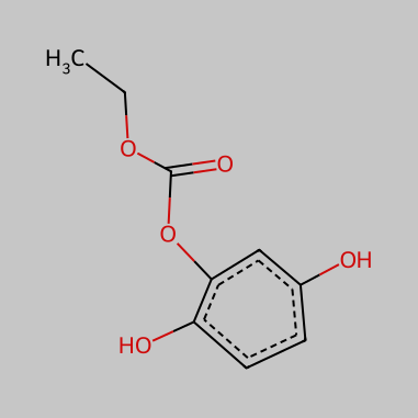 CCOC(=O)Oc1cc(O)ccc1O